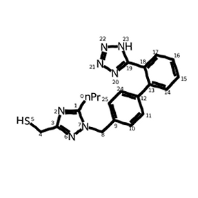 CCCc1nc(CS)nn1Cc1ccc(-c2ccccc2-c2nnn[nH]2)cc1